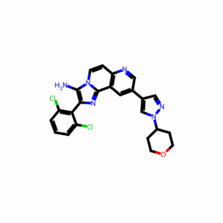 Nc1c(-c2c(Cl)cccc2Cl)nc2c3cc(-c4cnn(C5CCOCC5)c4)cnc3ccn12